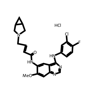 COc1cc2ncnc(Nc3ccc(F)c(Cl)c3)c2cc1NC(=O)C=CCN1CC2CC2C1.Cl